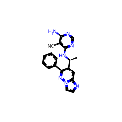 C[C@H](Nc1ncnc(N)c1C#N)c1cc2nccn2nc1-c1ccccc1